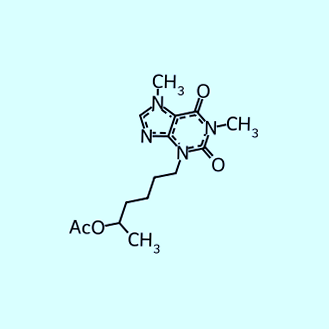 CC(=O)OC(C)CCCCn1c(=O)n(C)c(=O)c2c1ncn2C